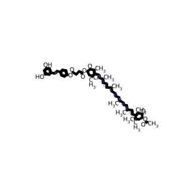 CC(=O)OC1CC(C)(C)C(/C=C/C(C)=C/C=C/C(C)=C/C=C/C=C(C)/C=C/C=C(C)/C=C/C2=C(C)C(=O)C(OC(=O)CCC(=O)Oc3ccc(/C=C/c4cc(O)cc(O)c4)cc3)CC2(C)C)=C(C)C1=O